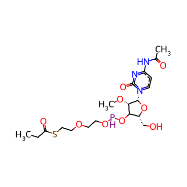 CCC(=O)SCCOCCOPOC1[C@@H](CO)O[C@@H](n2ccc(NC(C)=O)nc2=O)[C@H]1OC